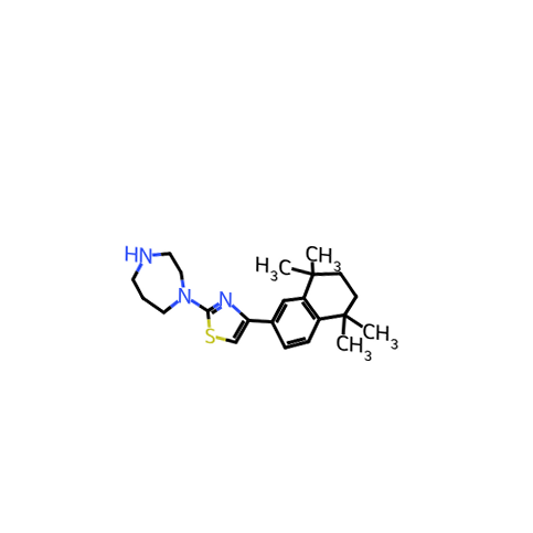 CC1(C)CCC(C)(C)c2cc(-c3csc(N4CCCNCC4)n3)ccc21